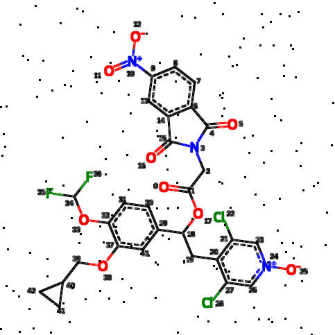 O=C(CN1C(=O)c2ccc([N+](=O)[O-])cc2C1=O)OC(Cc1c(Cl)c[n+]([O-])cc1Cl)c1ccc(OC(F)F)c(OCC2CC2)c1